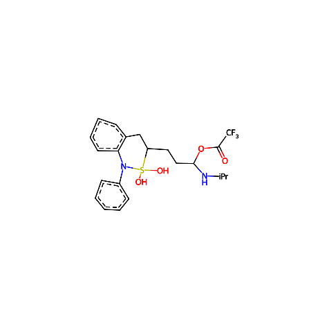 CC(C)NC(CCC1Cc2ccccc2N(c2ccccc2)S1(O)O)OC(=O)C(F)(F)F